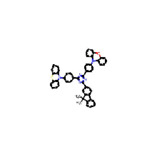 CC1(C)c2ccccc2-c2ccc(-c3nc(-c4ccc(N5c6ccccc6Oc6ccccc65)cc4)nc(-c4ccc(N5c6ccccc6Sc6ccccc65)cc4)n3)cc21